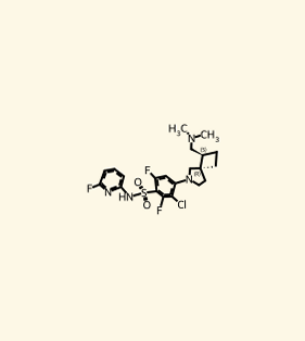 CN(C)C[C@H]1CC[C@@]12CCN(c1cc(F)c(S(=O)(=O)Nc3cccc(F)n3)c(F)c1Cl)C2